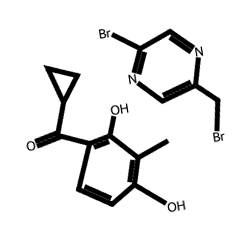 BrCc1cnc(Br)cn1.Cc1c(O)ccc(C(=O)C2CC2)c1O